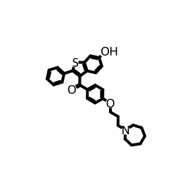 O=C(c1ccc(OCCCN2CCCCCC2)cc1)c1c(-c2ccccc2)sc2cc(O)ccc12